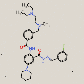 CCN(CC)CCN(C)Cc1cccc(C(=O)Nc2ccc(N3CCCCC3)cc2C(=O)NN=Cc2cccc(F)c2)c1